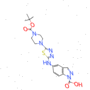 CC(C)(C)OC(=O)N1CCN(c2nnc(Nc3ccc4c(cnn4C(=O)O)c3)s2)CC1